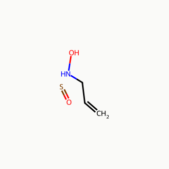 C=CCNO.O=S